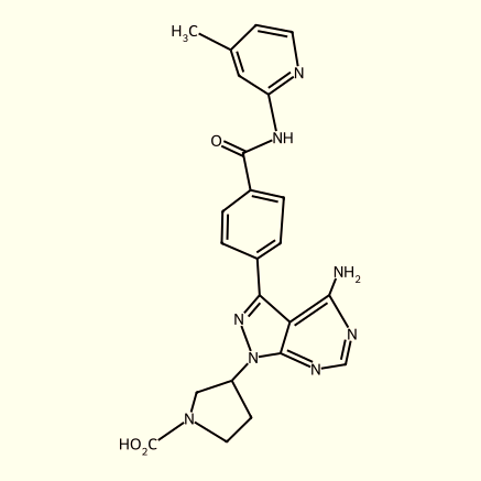 Cc1ccnc(NC(=O)c2ccc(-c3nn(C4CCN(C(=O)O)C4)c4ncnc(N)c34)cc2)c1